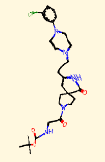 CC(C)(C)OC(=O)NCC(=O)N1CCC2(CC1)CC(CCN1CCN(c3cccc(Cl)c3)CC1)NC2=O